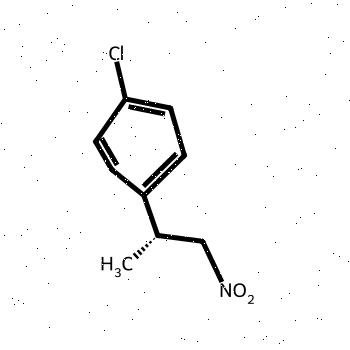 C[C@@H](C[N+](=O)[O-])c1ccc(Cl)cc1